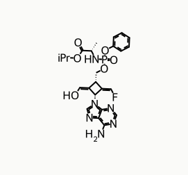 CC(C)OC(=O)[C@H](C)NP(=O)(OC[C@H]1/C(=C/O)[C@@H](n2cnc3c(N)ncnc32)/C1=C\F)Oc1ccccc1